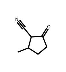 CC1CCC(=O)C1C#N